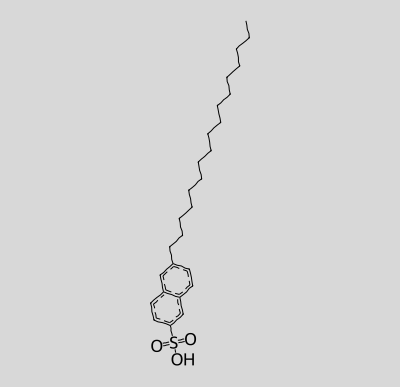 CCCCCCCCCCCCCCCCCc1ccc2cc(S(=O)(=O)O)ccc2c1